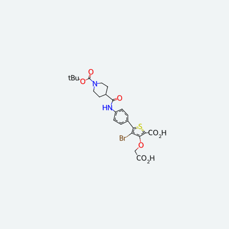 CC(C)(C)OC(=O)N1CCC(C(=O)Nc2ccc(-c3sc(C(=O)O)c(OCC(=O)O)c3Br)cc2)CC1